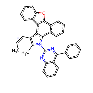 C/C=C\c1c(C)n(-c2nc(-c3ccccc3)c3ccccc3n2)c2c3ccccc3c3oc4ccccc4c3c12